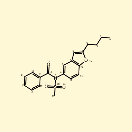 CCCCc1cc2cc(N(C(=O)c3ccccc3)S(C)(=O)=O)ccc2o1